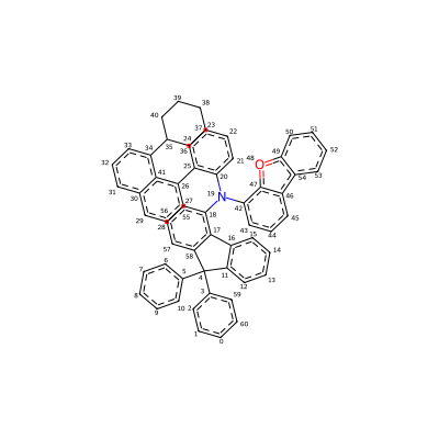 c1ccc(C2(c3ccccc3)c3ccccc3-c3c(N(c4ccccc4-c4cccc5cccc(C6CCCCC6)c45)c4cccc5c4oc4ccccc45)cccc32)cc1